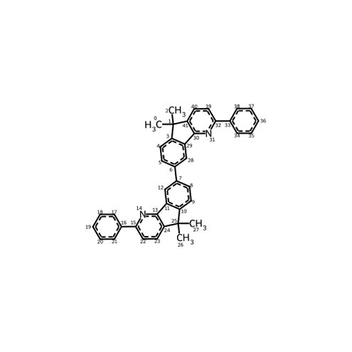 CC1(C)c2ccc(-c3ccc4c(c3)-c3nc(-c5ccccc5)ccc3C4(C)C)cc2-c2nc(-c3ccccc3)ccc21